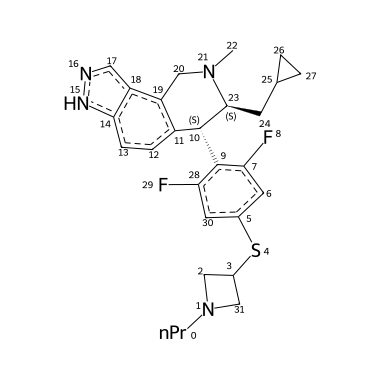 CCCN1CC(Sc2cc(F)c([C@@H]3c4ccc5[nH]ncc5c4CN(C)[C@H]3CC3CC3)c(F)c2)C1